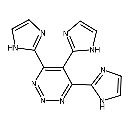 c1c[nH]c(-c2nnnc(-c3ncc[nH]3)c2-c2ncc[nH]2)n1